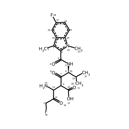 Cc1c(C(=O)N[C@H](C(=O)C(C(=O)O)C(N)C(=O)CF)C(C)C)n(C)c2ccc(F)cc12